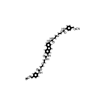 N#COCc1ccc(NC(=O)OCCOCCNC(=O)Nc2ccc3c(c2)Cc2cc(NC(=O)NCCOCCOC(=O)Nc4ccc(CN=C=O)cc4)ccc2-3)cc1